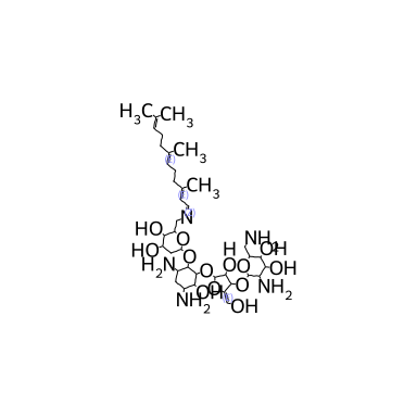 CC(C)=CCC/C(C)=C/CC/C(C)=C/C=N\CC1OC(OC2C(N)CC(N)C(O)C2OC2O/C(=C/O)C(OC3OC(CN)C(O)C(O)C3N)C2O)CC(O)C1O